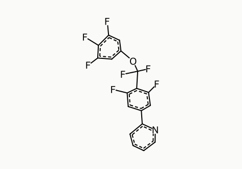 Fc1cc(OC(F)(F)c2c(F)cc(-c3ccccn3)cc2F)cc(F)c1F